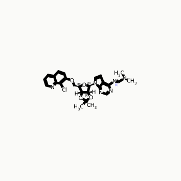 CN(C)/C=N/c1ncnc2c1ccn2[C@@H]1O[C@H](COc2ccc3cccnc3c2Cl)[C@H]2OC(C)(C)O[C@H]21